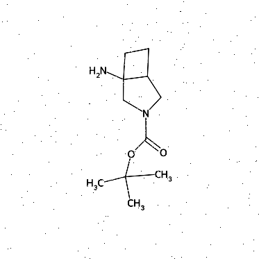 CC(C)(C)OC(=O)N1CC2CCC2(N)C1